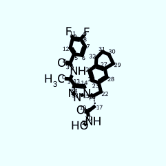 CC(NC(=O)c1ccc(F)c(F)c1)c1cn([C@@H](CC(=O)NO)Cc2ccc3c(c2)CCCC3)nn1